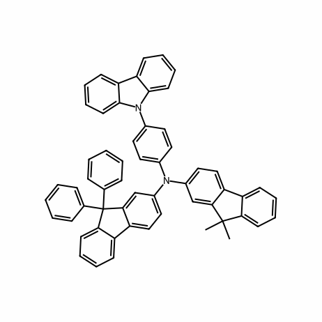 CC1(C)c2ccccc2-c2ccc(N(c3ccc(-n4c5ccccc5c5ccccc54)cc3)c3ccc4c(c3)C(c3ccccc3)(c3ccccc3)c3ccccc3-4)cc21